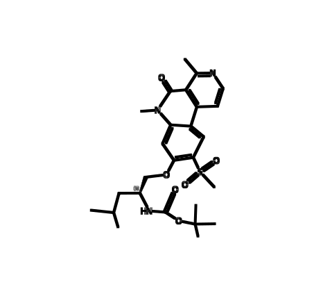 Cc1nccc2c1c(=O)n(C)c1cc(OC[C@H](CC(C)C)NC(=O)OC(C)(C)C)c(S(C)(=O)=O)cc21